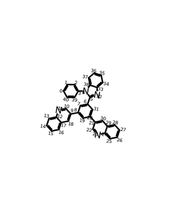 c1ccc(-n2c(-c3cc(-c4cnc5ccccc5c4)cc(-c4cnc5ccccc5c4)c3)nc3ccccc32)cc1